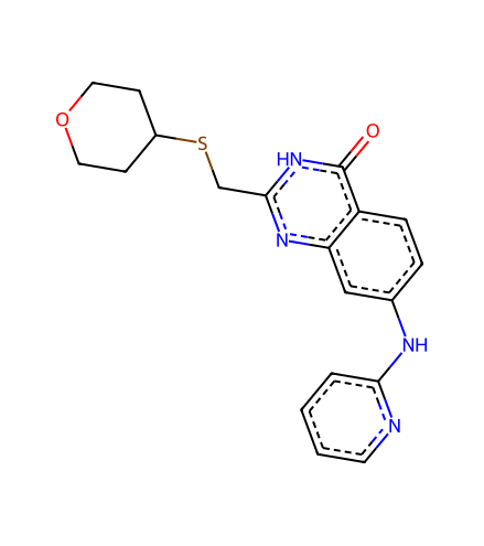 O=c1[nH]c(CSC2CCOCC2)nc2cc(Nc3ccccn3)ccc12